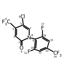 O=c1cc(C(F)(F)F)c(Cl)cn1-c1c(F)cc(C(F)(F)F)cc1F